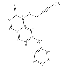 CC#CCCn1c(=O)ccc2cnc(Nc3ccccc3)nc21